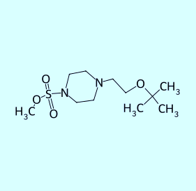 COS(=O)(=O)N1CCN(CCOC(C)(C)C)CC1